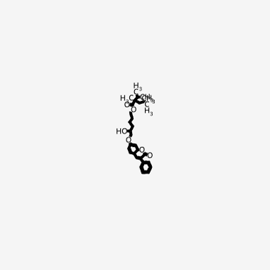 CC(C)CC(C)(C(=O)OCCCCC(O)COC1=CC2OC(=O)C(c3ccccc3)=CC2C=C1)C(C)C